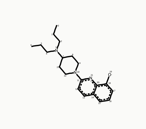 CCCN(CCC)C1CCN(c2ccc3cccc([O])c3n2)CC1